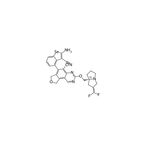 N#Cc1c(N)[se]c2cccc(-c3c4c(c5cnc(OC[C@@]67CCCN6CC(=C(F)F)C7)nc5c3Cl)COC4)c12